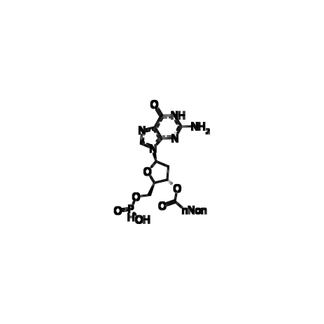 CCCCCCCCCC(=O)O[C@H]1C[C@H](n2cnc3c(=O)[nH]c(N)nc32)O[C@@H]1CO[PH](=O)O